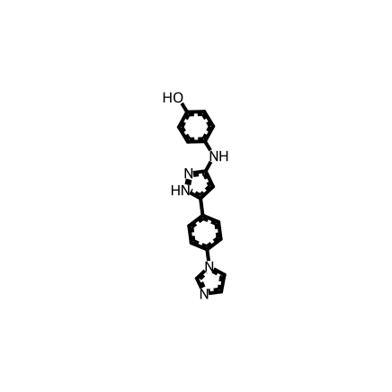 Oc1ccc(Nc2cc(-c3ccc(-n4ccnc4)cc3)[nH]n2)cc1